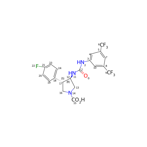 O=C(Nc1cc(C(F)(F)F)cc(C(F)(F)F)c1)N[C@H]1CN(C(=O)O)C[C@@H]1c1ccc(F)cc1